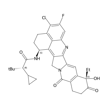 CC[C@@]1(O)C(=O)CCc2c1cc1n(c2=O)Cc2c-1nc1cc(F)c(Cl)c3c1c2[C@@H](NC(=O)[C@H](C1CC1)C(C)(C)C)CC3